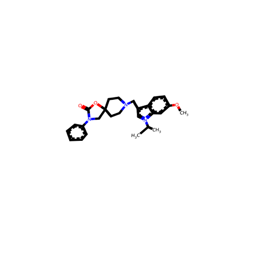 COc1ccc2c(CN3CCC4(CC3)CN(c3ccccc3)C(=O)O4)cn(C(C)C)c2c1